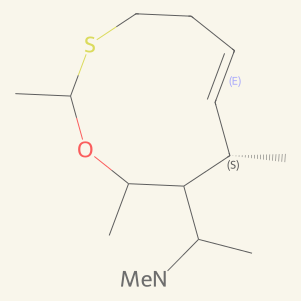 CNC(C)C1C(C)OC(C)SCC/C=C/[C@@H]1C